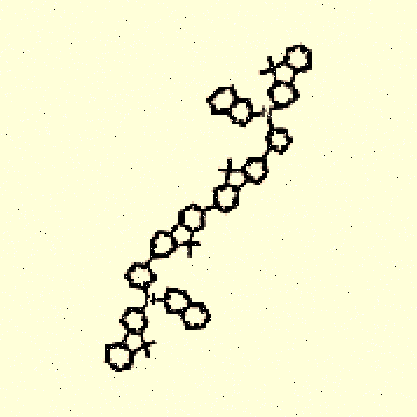 CC1(C)c2cc(C3=CC=C4c5ccc(-c6cccc(N(c7ccc8c(c7)C(C)(C)c7ccccc7-8)c7ccc8ccccc8c7)c6)cc5C(C)(C)C4C3)ccc2-c2ccc(-c3cccc(N(c4ccc5c(c4)C(C)(C)c4ccccc4-5)c4ccc5ccccc5c4)c3)cc21